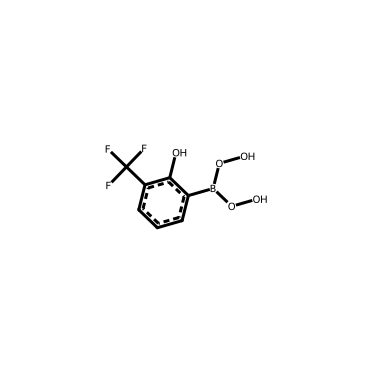 OOB(OO)c1cccc(C(F)(F)F)c1O